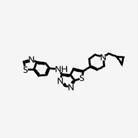 C1=C(c2cc3c(Nc4ccc5scnc5c4)ncnc3s2)CCN(CC2CC2)C1